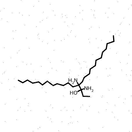 CCCCCCCCCCCCC(N)(CCCCCCCCCCCC)C(N)(O)CC